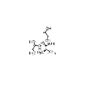 C=C(C)C(=O)O.CCC(O)O.OCCO